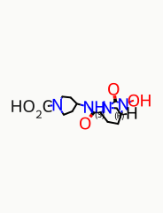 O=C(NC1CCN(C(=O)O)CC1)[C@@H]1CC[C@@H]2CN1C(=O)N2O